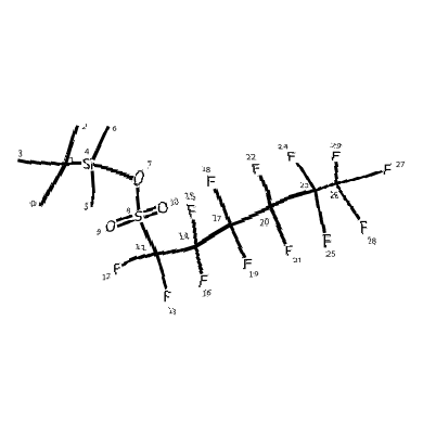 CC(C)(C)[Si](C)(C)OS(=O)(=O)C(F)(F)C(F)(F)C(F)(F)C(F)(F)C(F)(F)C(F)(F)F